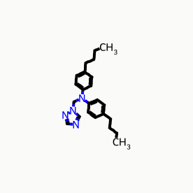 CCCCc1ccc(N(Cn2cncn2)c2ccc(CCCC)cc2)cc1